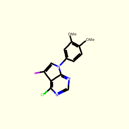 COc1ccc(-n2cc(I)c3c(Cl)ncnc32)cc1OC